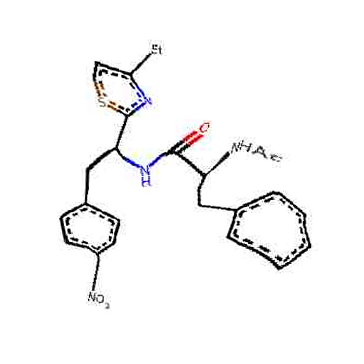 CCc1csc(C(Cc2ccc([N+](=O)[O-])cc2)NC(=O)[C@H](Cc2ccccc2)NC(C)=O)n1